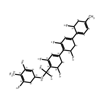 CC1=CC=C(C2=CC(F)=C(C3=CC(F)=C(C(F)(F)OC4C=C(F)C(C(F)(F)F)=C(F)C4)C(F)C3)C(F)C2)C(F)C1